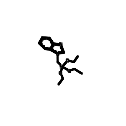 CCO[Si](Cn1cnc2ccccc21)(OCC)OCC